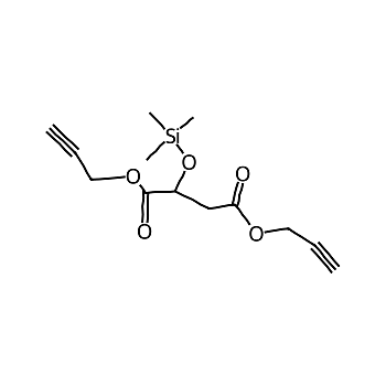 C#CCOC(=O)CC(O[Si](C)(C)C)C(=O)OCC#C